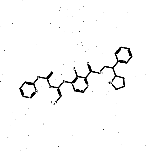 C=C(Nc1ccccn1)S/C(=C\N)Sc1ccnc(C(=O)NCC(c2ccccc2)C2CCCN2)c1F